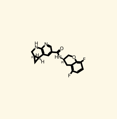 O=C(N[C@H]1COc2c(F)ccc(F)c2C1)c1cnc2c(c1)[C@H]1C[C@H]1CN2